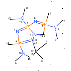 CN(C)P(C)(C)=NP(=NP(C)(=NC(C)(C)C)N(C)C)(N(C)C)N(C)C